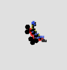 Cn1cnnc1SCSC1=C(C(=O)OC(c2ccccc2)c2ccccc2)N2C(=O)[C@@H](NC(=O)/C(=N\OC(c3ccccc3)(c3ccccc3)c3ccccc3)c3csc(NC(=O)OC(C)(C)C)n3)[C@@H]2SC1